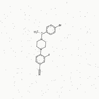 C[C@H](c1ccc(Br)cc1)N1CCN(c2ccc(C#N)cc2F)CC1